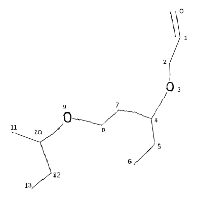 C=CCOC(CC)CCOC(C)CC